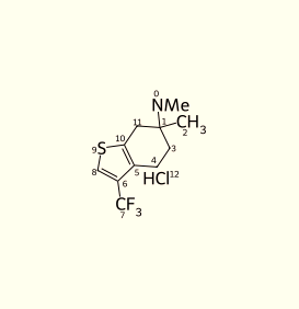 CNC1(C)CCc2c(C(F)(F)F)csc2C1.Cl